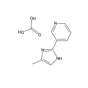 Cc1c[nH]c(-c2cccnc2)n1.O=C(O)O